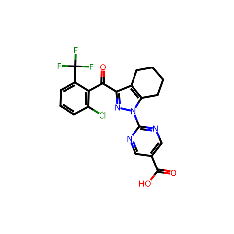 O=C(O)c1cnc(-n2nc(C(=O)c3c(Cl)cccc3C(F)(F)F)c3c2CCCC3)nc1